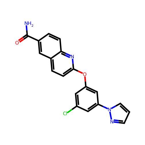 NC(=O)c1ccc2nc(Oc3cc(Cl)cc(-n4cccn4)c3)ccc2c1